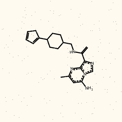 C=C(NCC1CCC(C2=CC=CC2)CC1)c1ncn2c(N)cc(C)nc12